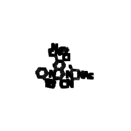 CCn1nccc1-c1cc2c(cc1Cl)c(N1CCN(C(C)=O)C[C@@H]1C)c(C#N)c(=O)n2-c1ccccc1C(C)C